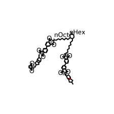 CCCCCCCCC1C(CCCCCC)CCC(CCCCCCCCN2C(=O)c3ccc(-c4ccc5c(c4)C(=O)N(CC4CC6CC4C4CC(C)CC64)C5=O)cc3C2=O)C1CCCCCCCCN1C(=O)c2ccc(-c3ccc4c(c3)C(=O)N(CC3CC5CC3C3CC(CN6C(=O)C=CC6=O)CC53)C4=O)cc2C1=O